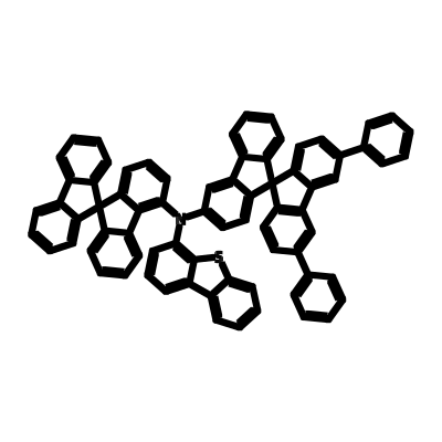 c1ccc(-c2ccc3c(c2)-c2cc(-c4ccccc4)ccc2C32c3ccccc3-c3cc(N(c4cccc5c4-c4ccccc4C54c5ccccc5-c5ccccc54)c4cccc5c4sc4ccccc45)ccc32)cc1